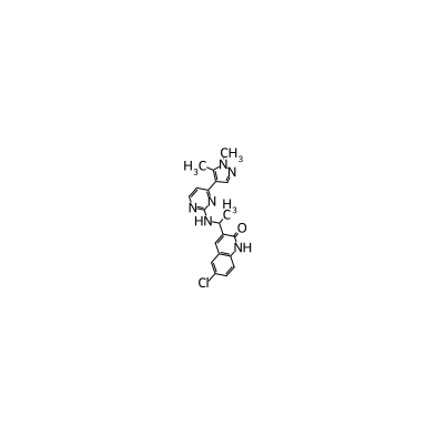 Cc1c(-c2ccnc(NC(C)c3cc4cc(Cl)ccc4[nH]c3=O)n2)cnn1C